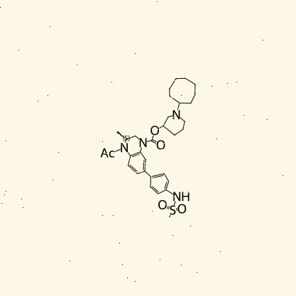 CC(=O)N1c2ccc(-c3ccc(NS(C)(=O)=O)cc3)cc2N(C(=O)OC2CCCN(C3CCCCCCC3)C2)C[C@@H]1C